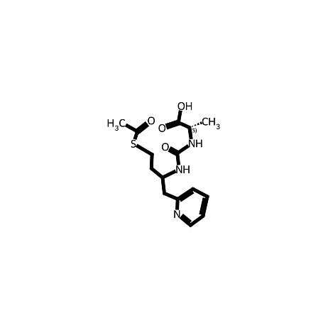 CC(=O)SCCC(Cc1ccccn1)NC(=O)N[C@@H](C)C(=O)O